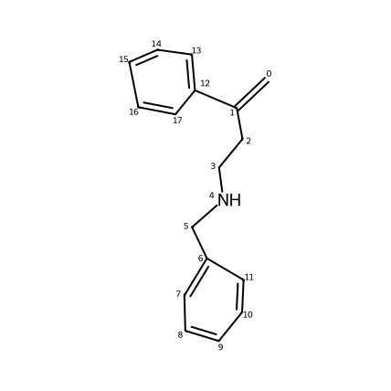 C=C(CCNCc1ccccc1)c1ccccc1